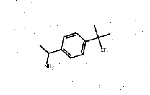 CC(N)c1ccc(C(C)(C)C(F)(F)F)cc1